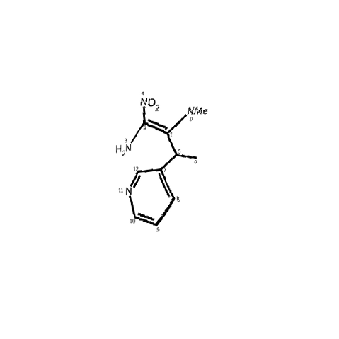 CNC(=C(N)[N+](=O)[O-])C(C)c1cccnc1